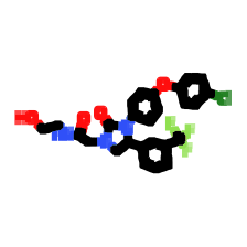 O=C(CN1CC(c2cccc(C(F)(F)F)c2)N(c2ccc(Oc3ccc(Cl)cc3)cc2)C1=O)NCCO